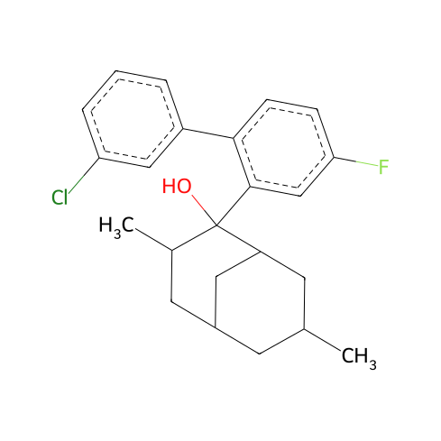 CC1CC2CC(C)C(O)(c3cc(F)ccc3-c3cccc(Cl)c3)C(C1)C2